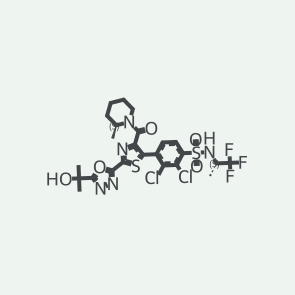 C[C@H](NS(=O)(=O)c1ccc(-c2sc(-c3nnc(C(C)(C)O)o3)nc2C(=O)N2CCCC[C@@H]2C)c(Cl)c1Cl)C(F)(F)F